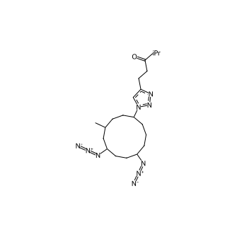 CC1CCC(n2cc(CCC(=O)C(C)C)nn2)CCCC(N=[N+]=[N-])CCC(N=[N+]=[N-])C1